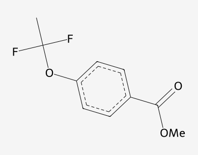 COC(=O)c1ccc(OC(C)(F)F)cc1